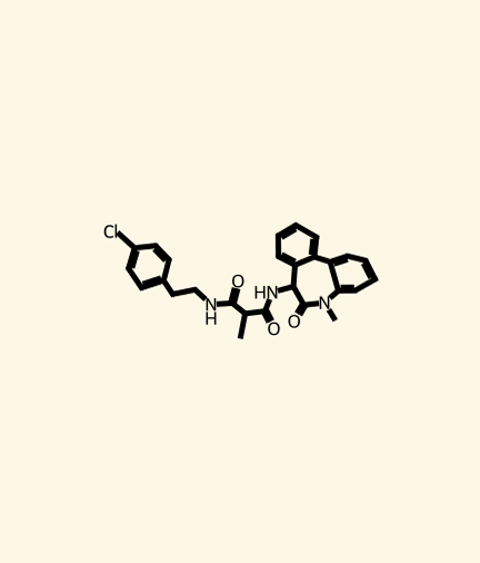 CC(C(=O)NCCc1ccc(Cl)cc1)C(=O)NC1C(=O)N(C)c2ccccc2-c2ccccc21